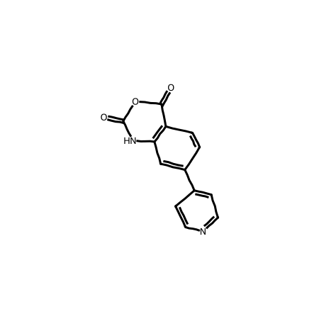 O=c1[nH]c2cc(-c3ccncc3)ccc2c(=O)o1